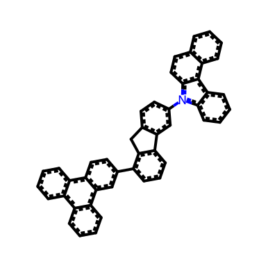 c1cc(-c2ccc3c4ccccc4c4ccccc4c3c2)c2c(c1)-c1cc(-n3c4ccccc4c4c5ccccc5ccc43)ccc1C2